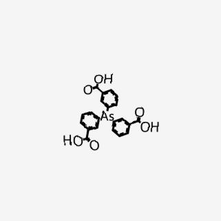 O=C(O)c1cccc([As](c2cccc(C(=O)O)c2)c2cccc(C(=O)O)c2)c1